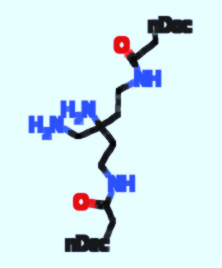 CCCCCCCCCCCC(=O)NCCC(N)(CN)CCNC(=O)CCCCCCCCCCC